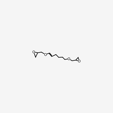 C(=COCC1CO1)CCCCOCC1CO1